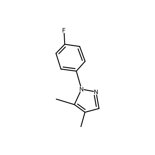 Cc1cnn(-c2ccc(F)cc2)c1C